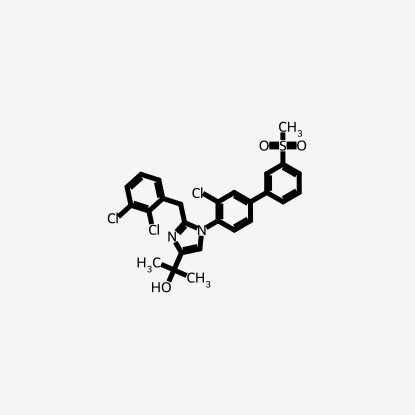 CC(C)(O)c1cn(-c2ccc(-c3cccc(S(C)(=O)=O)c3)cc2Cl)c(Cc2cccc(Cl)c2Cl)n1